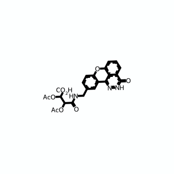 CC(=O)OC(C(=O)O)C(OC(C)=O)C(=O)NCc1ccc2c(c1)-c1n[nH]c(=O)c3cccc(c13)O2